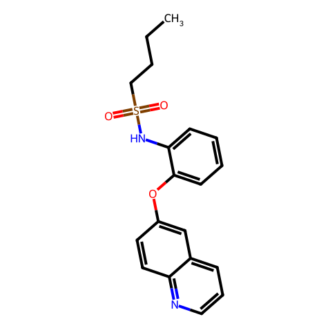 CCCCS(=O)(=O)Nc1ccccc1Oc1ccc2ncccc2c1